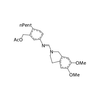 CCCCCc1ccc(/N=C/N2CCc3cc(OC)c(OC)cc3C2)cc1COC(C)=O